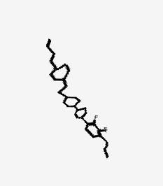 C=CCCC1CCC(CCC2CCC(c3ccc(-c4ccc(CCC)c(F)c4F)cc3)CC2)CC1